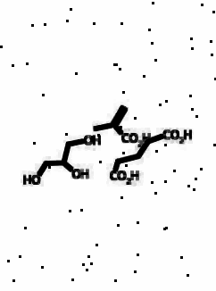 C=C(C)C(=O)O.O=C(O)CCCC(=O)O.OCC(O)CO